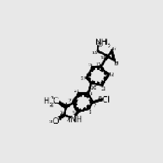 C=C1C(=O)Nc2cc(Cl)c(-c3ccc(C4(CN)CC4)cc3)cc21